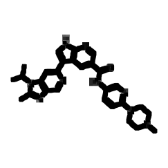 Cc1nc2cnc(-c3c[nH]c4ncc(C(=O)Nc5ccc(N6CCN(C)CC6)nc5)cc34)cc2n1C(C)C